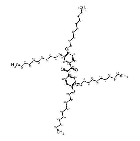 CCCCCCCCCCOc1ccc(C(=O)C(=O)c2ccc(OCCCCCCCCCC)c(OCCCCCCCCCC)c2)cc1OCCCCCCCCCC